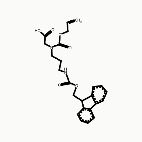 C=CCOC(=O)N(CCCNC(=O)OCC1c2ccccc2-c2ccccc21)CC(=O)O